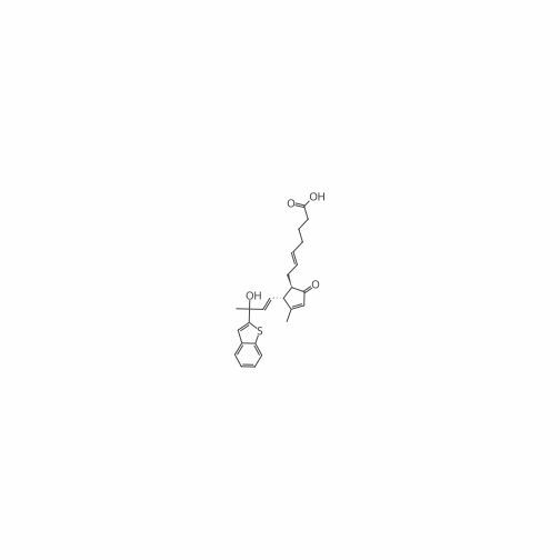 CC1=CC(=O)[C@H](CC=CCCCC(=O)O)[C@H]1C=CC(C)(O)c1cc2ccccc2s1